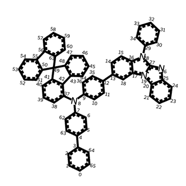 c1ccc(-c2ccc(N(c3ccc(-c4ccc5c(c4)n4c6ccccc6nc4n5-c4ccccc4)cc3)c3cccc4c3-c3ccccc3C43c4ccccc4-c4ccccc43)cc2)cc1